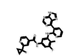 Cc1c(F)cc(NC(=O)c2ccnc(C3(F)CC3)c2)cc1Nc1ncccc1-c1ncnc2[nH]cnc12